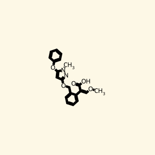 COC=C(C(=O)O)c1ccccc1COc1cc(Oc2ccccc2)n(C)n1